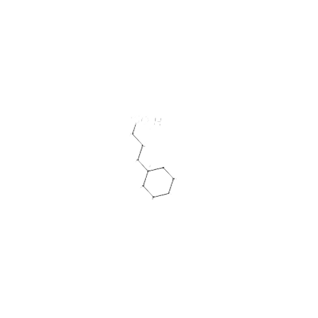 O=S(=O)(O)CCCC1CCCCC1